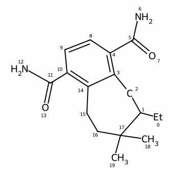 CCC1Cc2c(C(N)=O)ccc(C(N)=O)c2CCC1(C)C